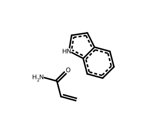 C=CC(N)=O.c1ccc2[nH]ccc2c1